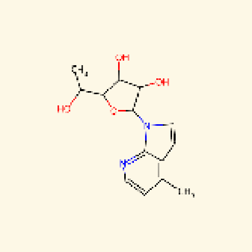 Cc1ccnc2c1ccn2C1OC(C(C)O)C(O)C1O